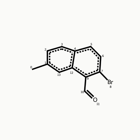 Cc1ccc2ccc(Br)c(C=O)c2c1